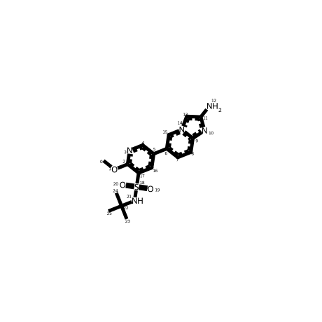 COc1ncc(-c2ccc3nc(N)cn3c2)cc1S(=O)(=O)NC(C)(C)C